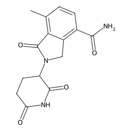 Cc1ccc(C(N)=O)c2c1C(=O)N(C1CCC(=O)NC1=O)C2